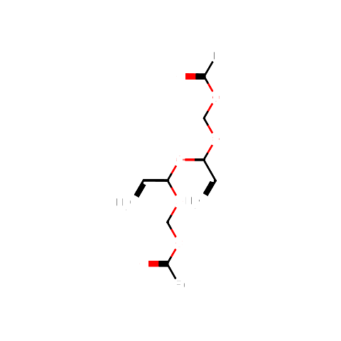 C=CC(OCOC(=O)CC)OC(C=C)OCOC(=O)CC